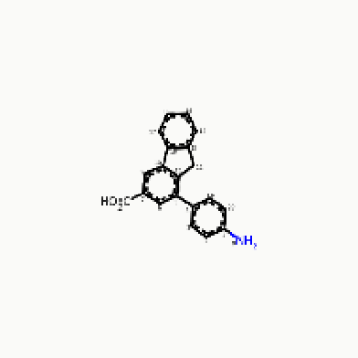 Nc1ccc(-c2cc(C(=O)O)cc3c2Cc2ccccc2-3)cc1